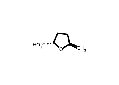 C=C1CC[C@@H](C(=O)O)O1